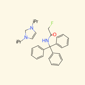 CC(C)N1C=CN(C(C)C)C1.O=C(CF)NC(c1ccccc1)(c1ccccc1)c1ccccc1